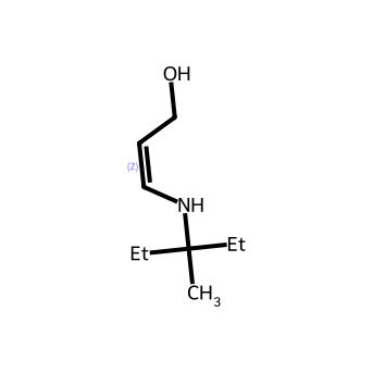 CCC(C)(CC)N/C=C\CO